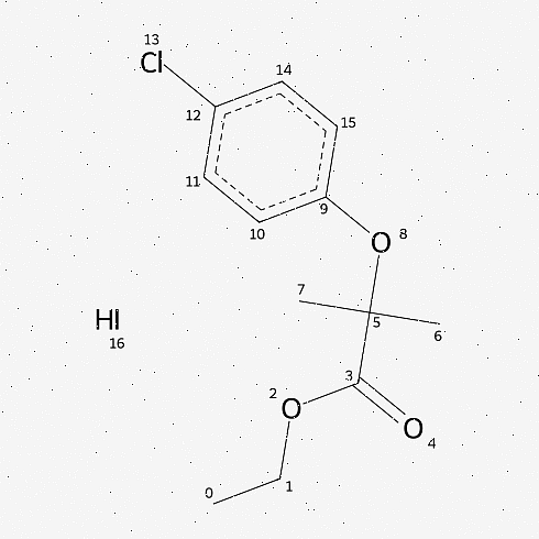 CCOC(=O)C(C)(C)Oc1ccc(Cl)cc1.I